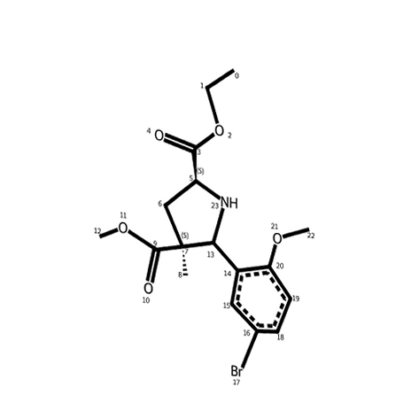 CCOC(=O)[C@@H]1C[C@](C)(C(=O)OC)C(c2cc(Br)ccc2OC)N1